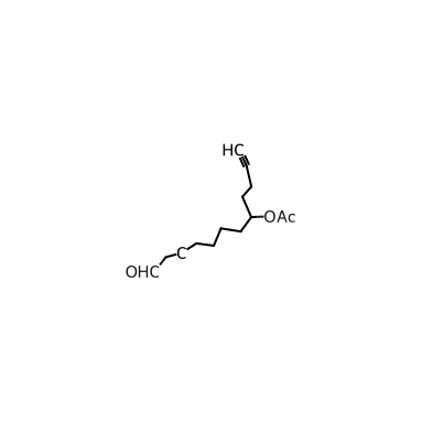 C#CCCC(CCCCCCC=O)OC(C)=O